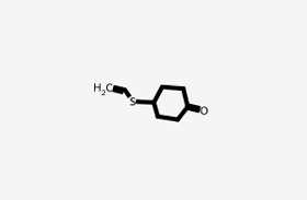 C=CSC1CCC(=O)CC1